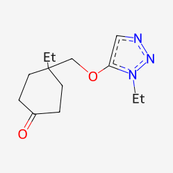 CCn1nncc1OCC1(CC)CCC(=O)CC1